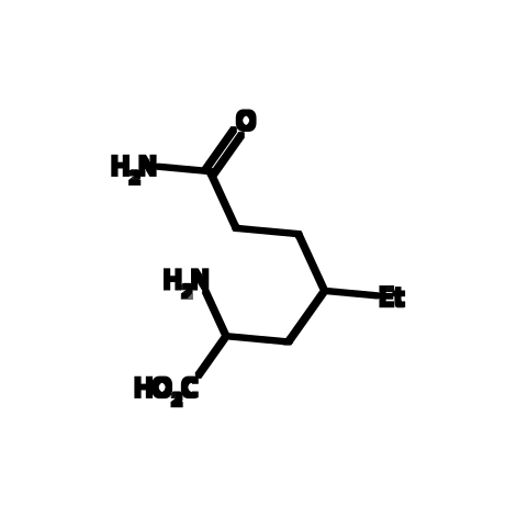 CCC(CCC(N)=O)CC(N)C(=O)O